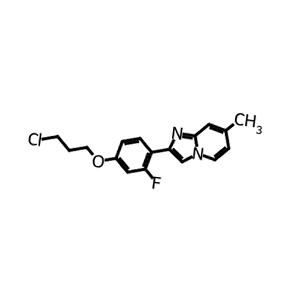 Cc1ccn2cc(-c3ccc(OCCCCl)cc3F)nc2c1